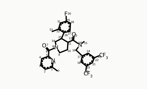 Cc1cccc(C(=O)N2CCC(C(=O)N(C)Cc3cc(C(F)(F)F)cc(C(F)(F)F)c3)C(c3ccc(F)cc3C)C2)n1